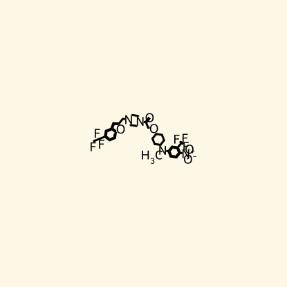 CN(c1ccc([N+](=O)[O-])c(C(F)(F)F)c1)C1CCC(OCC(=O)N2CCN(Cc3cc4cc(C(F)(F)CF)ccc4o3)CC2)CC1